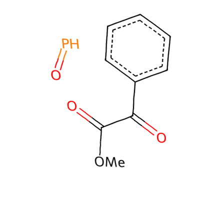 COC(=O)C(=O)c1ccccc1.O=P